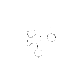 NC(=O)[C@@H](c1ccccc1)N(Cc1cc(OC(F)(F)F)ccc1F)C(=O)c1ccccc1